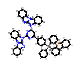 c1ccc([Si](c2ccccc2)(c2ccc(-c3cc(-n4c5ccccc5n5c6ccccc6nc45)nc(-n4c5ccccc5n5c6ccccc6nc45)n3)cc2)c2cccc3c2sc2ccccc23)cc1